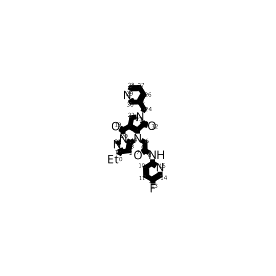 CCc1cc2n(CC(=O)Nc3ccc(F)cn3)c3c(c(=O)n2n1)CN(Cc1cccnc1)C3=O